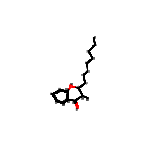 CCCCCCCCC1Oc2ccccc2C(=O)C1C